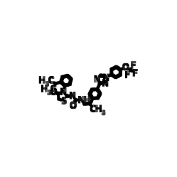 CC(=CNC(=O)N=C1SCC(=O)N1c1ccccc1C(C)C)c1ccc(-c2ncn(-c3ccc(OC(F)(F)F)cc3)n2)cc1